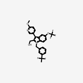 COc1ccc(-c2c(CO)n(Cc3cccc(C(C)(F)F)c3)c3ccc(OC(F)(F)F)cc23)cn1